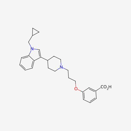 O=C(O)c1cccc(OCCCN2CCC(c3cn(CC4CC4)c4ccccc34)CC2)c1